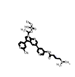 CCOP(=O)(O)OC(C)n1cc(-c2ccnc(C#N)c2)c2cc(-c3cncc(NC(=O)/C=C/CN(C)C)c3)cnc21